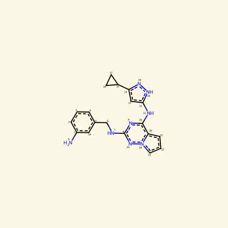 Nc1cccc(CNc2nc(Nc3cc(C4CC4)n[nH]3)c3cccn3n2)c1